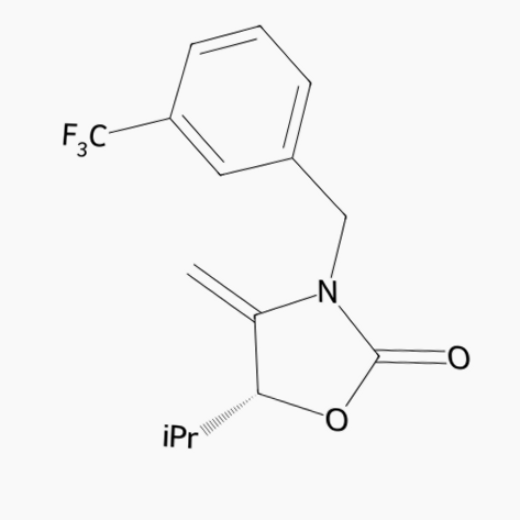 C=C1[C@@H](C(C)C)OC(=O)N1Cc1cccc(C(F)(F)F)c1